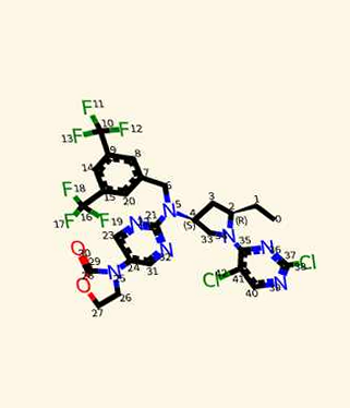 CC[C@@H]1C[C@H](N(Cc2cc(C(F)(F)F)cc(C(F)(F)F)c2)c2ncc(N3CCOC3=O)cn2)CN1c1nc(Cl)ncc1Cl